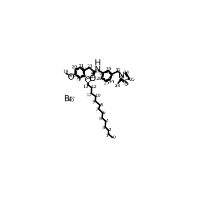 CCCCCCCCCCCCCCOc1cc(OC)ccc1CC(=O)Nc1cccc(C[n+]2ccsc2C)c1.[Br-]